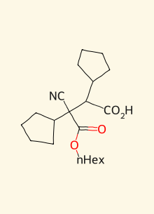 CCCCCCOC(=O)C(C#N)(C1CCCC1)C(C(=O)O)C1CCCC1